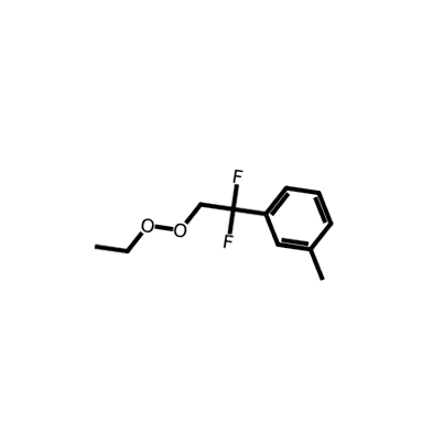 CCOOCC(F)(F)c1cccc(C)c1